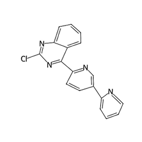 Clc1nc(-c2ccc(-c3ccccn3)cn2)c2ccccc2n1